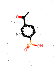 CC(=O)c1ccc([PH](=O)O)cc1.[NaH]